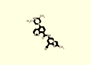 Cc1cn2cc(NC(=O)c3ccc(N4C[C@@H](C)N[C@@H](C)C4)c4ccnnc34)cc(C#N)c2n1